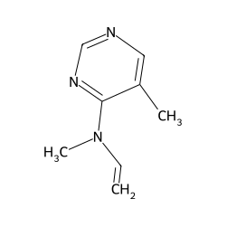 C=CN(C)c1ncncc1C